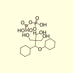 O=P(O)(O)OP(=O)(O)O.OCC(CO)(CO)C(OC1CCCCC1)C1CCCCC1